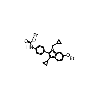 CCOc1ccc2c(C3CC3)c(-c3ccc(NC(=O)OC(C)C)cc3)n(CC3CC3)c2c1